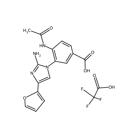 CC(=O)Nc1ccc(C(=O)O)cc1-n1cc(-c2ccco2)nc1N.O=C(O)C(F)(F)F